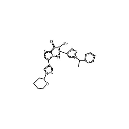 CC(c1ccccc1)n1cc(-c2nn3c(-c4cnn(C5CCCCO5)c4)cnc3c(=O)n2C(C)C)cn1